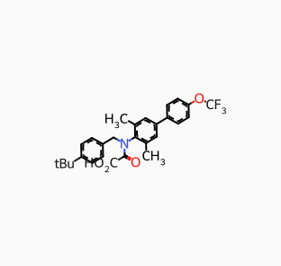 Cc1cc(-c2ccc(OC(F)(F)F)cc2)cc(C)c1N(Cc1ccc(C(C)(C)C)cc1)C(=O)C(=O)O